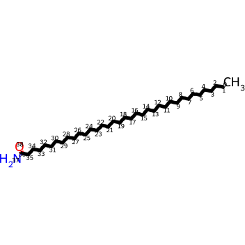 CCCCCCCCCCCCCCCCCCCCCCCCCCCCCCCCCCCCC(N)=O